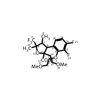 COCCOc1c(C2C(C)C(C)(C(F)(F)F)OC2(CCOC)C(=O)O)ccc(F)c1F